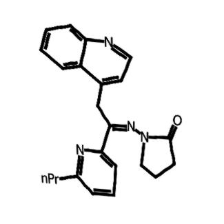 CCCc1cccc(C(Cc2ccnc3ccccc23)=NN2CCCC2=O)n1